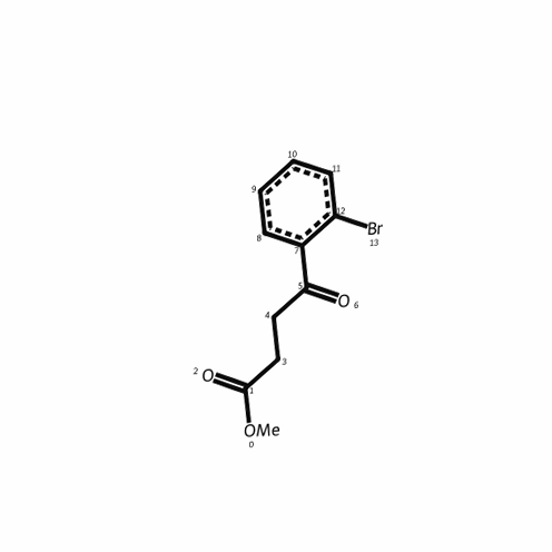 COC(=O)CCC(=O)c1ccccc1Br